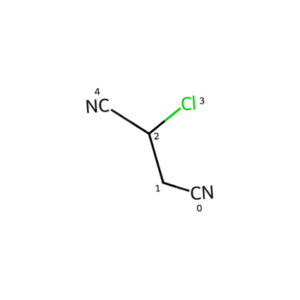 N#CCC(Cl)C#N